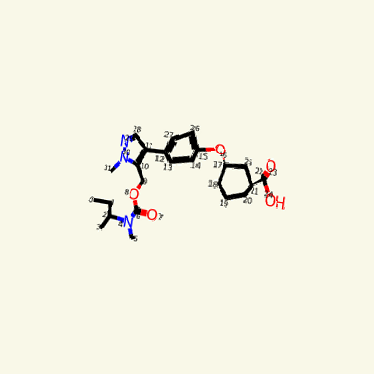 CCC(C)N(C)C(=O)OCc1c(-c2ccc(O[C@H]3CCC[C@H](C(=O)O)C3)cc2)cnn1C